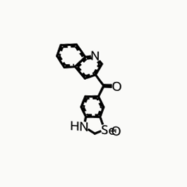 O=C(c1ccc2c(c1)[Se](=O)CN2)c1cnc2ccccc2c1